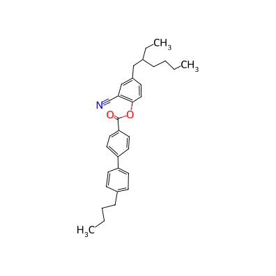 CCCCc1ccc(-c2ccc(C(=O)Oc3ccc(CC(CC)CCCC)cc3C#N)cc2)cc1